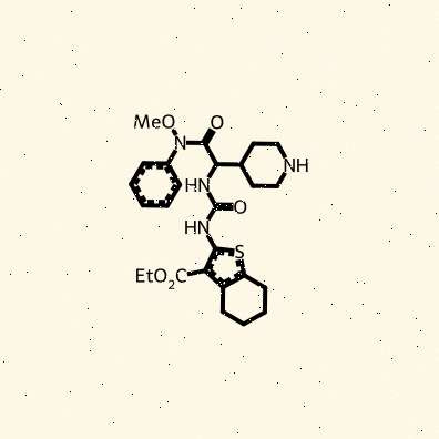 CCOC(=O)c1c(NC(=O)NC(C(=O)N(OC)c2ccccc2)C2CCNCC2)sc2c1CCCC2